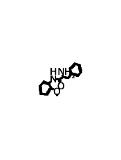 COc1ccccc1NC(=O)C(N)Cc1ccccc1